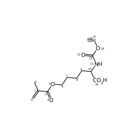 C=C(C)C(=O)OCCCCC(NC(=O)OC(C)(C)C)C(=O)O